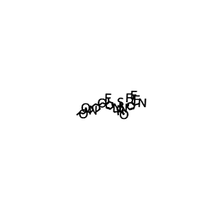 CCOC(=O)CN1CCC(Oc2ccc(N3C(=S)N(c4ccc(C#N)c(C(F)(F)F)c4)C(=O)C3(C)C)cc2F)CC1